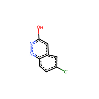 Oc1cc2cc(Cl)ccc2nn1